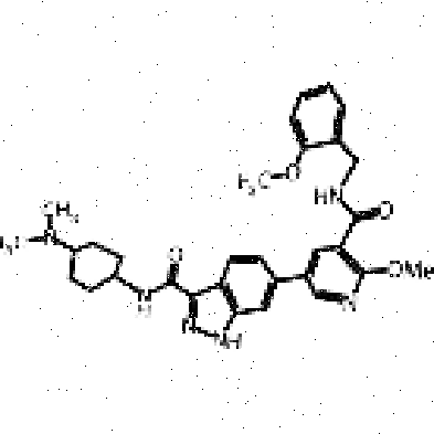 COc1ncc(-c2ccc3c(C(=O)NC4CCC(N(C)C)CC4)n[nH]c3c2)cc1C(=O)NCc1ccccc1OC(F)(F)F